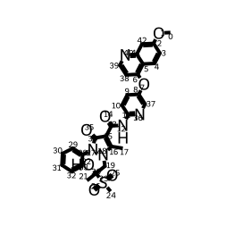 COc1ccc2c(Oc3ccc(NC(=O)c4c(C)n(CC(C)(O)S(C)(=O)=O)n(-c5ccccc5)c4=O)nc3)ccnc2c1